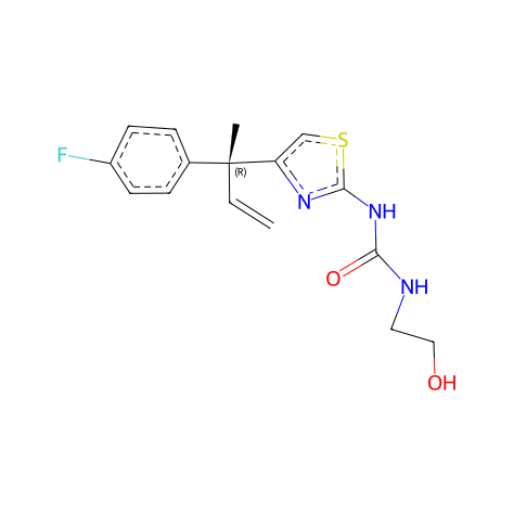 C=C[C@](C)(c1ccc(F)cc1)c1csc(NC(=O)NCCO)n1